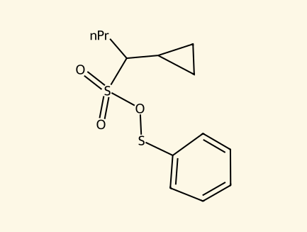 CCCC(C1CC1)S(=O)(=O)OSc1ccccc1